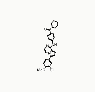 COc1ccc(-c2cnc3c(Nc4ccc(C(=O)N5CCCCC5)cc4)nccn23)cc1Cl